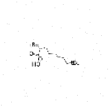 CC(C)(C)CCCCCCC(C(=O)OO)C(C)(C)C